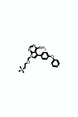 C[Si](C)(C)CCOCn1cc(-c2ccc(Oc3ccccc3)cc2)c2c(N)ncnc21